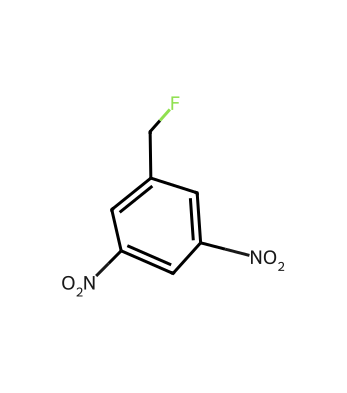 O=[N+]([O-])c1cc(CF)cc([N+](=O)[O-])c1